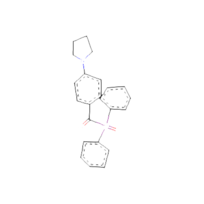 O=C(c1ccc(N2CCCC2)cc1)P(=O)(c1ccccc1)c1ccccc1